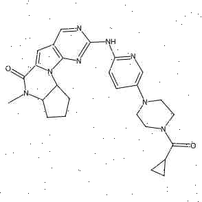 CN1C(=O)c2cc3cnc(Nc4ccc(N5CCN(C(=O)C6CC6)CC5)cn4)nc3n2C2CCCC21